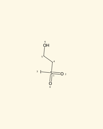 O=S(=O)(I)CCO